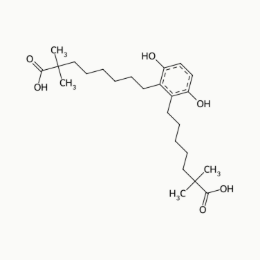 CC(C)(CCCCCCc1c(O)ccc(O)c1CCCCCC(C)(C)C(=O)O)C(=O)O